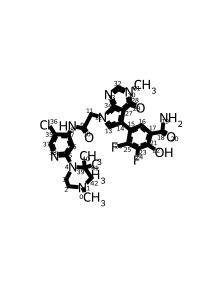 CN1CCN(c2cc(NC(=O)Cn3cc(-c4cc(C(N)=O)c(O)c(F)c4F)c4c(=O)n(C)cnc43)c(Cl)cn2)C(C)(C)C1